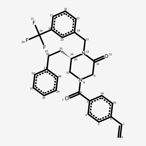 C=Cc1ccc(C(=O)N2CC(=O)N(Cc3cccc(C(F)(F)F)c3)[C@@H](CCc3ccccc3)C2)cc1